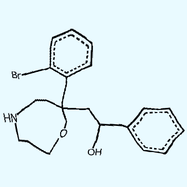 OC(CC1(c2ccccc2Br)CNCCO1)c1ccccc1